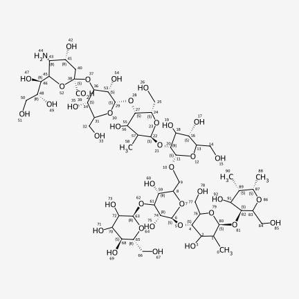 CC1C(O)[C@H](O[C@@H]2OC(CO[C@H]3OC(CO)[C@@H](O)C(O)[C@H]3O[C@@H]3O[C@@H](CO)[C@@H](O[C@@H]4OC(CO)[C@H](O)C(O[C@]5(C(=O)O)C[C@@H](O)[C@@H](N)C([C@H](O)[C@H](O)CO)O5)[C@@H]4O)C(O)C3C)[C@@H](O)C(O[C@H]3O[C@H](CO)[C@@H](O)C(O)C3O)[C@H]2O)C(CO)O[C@H]1O[C@@H]1C(CO)O[C@@H](C)[C@@H](C)C1O